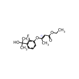 CCOC(=O)/C=C(\C)Oc1cccc(C(C)(C)O)c1F